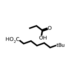 CC(C)(C)CCCCCC(=O)O.CCC(=O)O